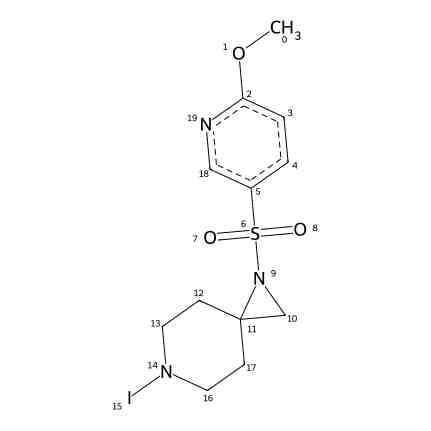 COc1ccc(S(=O)(=O)N2CC23CCN(I)CC3)cn1